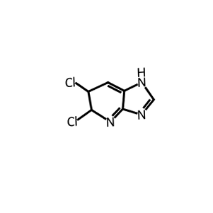 ClC1C=c2[nH]cnc2=NC1Cl